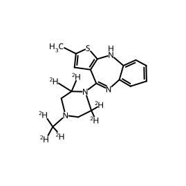 [2H]C([2H])([2H])N1CC([2H])([2H])N(C2=Nc3ccccc3Nc3sc(C)cc32)C([2H])([2H])C1